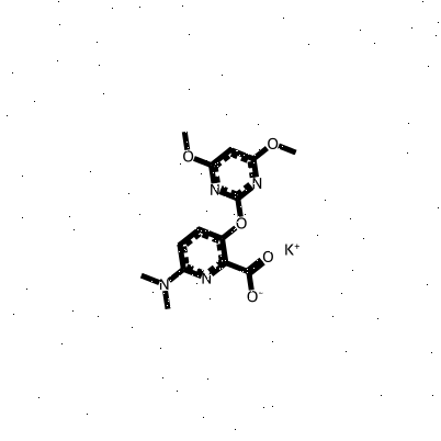 COc1cc(OC)nc(Oc2ccc(N(C)C)nc2C(=O)[O-])n1.[K+]